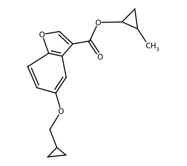 CC1CC1OC(=O)c1coc2ccc(OCC3CC3)cc12